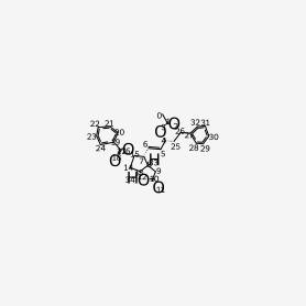 CC(=O)O[C@@H](C=C[C@@H]1[C@H]2CC(=O)O[C@H]2C[C@H]1OC(=O)c1ccccc1)CCc1ccccc1